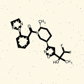 C[C@@H]1CC[C@@H](c2cc(C(C)(O)C(F)F)on2)CN1C(=O)c1ccccc1-n1nccn1